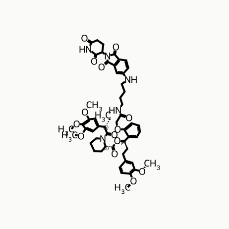 CC[C@H](C(=O)N1CCCC[C@H]1C(=O)O[C@H](CCc1ccc(OC)c(OC)c1)c1ccccc1OCC(=O)NCCCCNc1ccc2c(c1)C(=O)N(C1CCC(=O)NC1=O)C2=O)c1cc(OC)c(OC)c(OC)c1